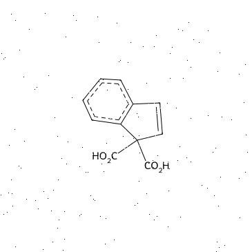 O=C(O)C1(C(=O)O)C=Cc2ccccc21